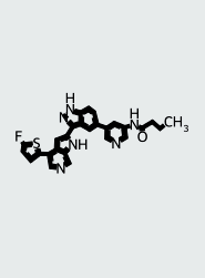 CCCC(=O)Nc1cncc(-c2ccc3[nH]nc(-c4cc5c(-c6ccc(F)s6)cncc5[nH]4)c3c2)c1